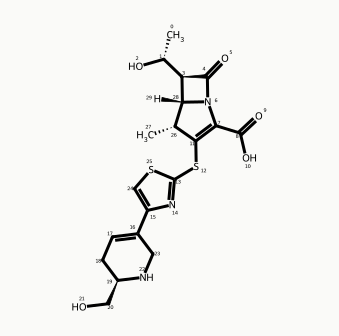 C[C@@H](O)[C@H]1C(=O)N2C(C(=O)O)=C(Sc3nc(C4=CC[C@H](CO)NC4)cs3)[C@H](C)[C@H]12